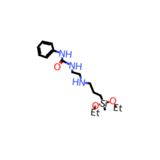 CCO[Si](C)(CCCNCCNC(=O)Nc1ccccc1)OCC